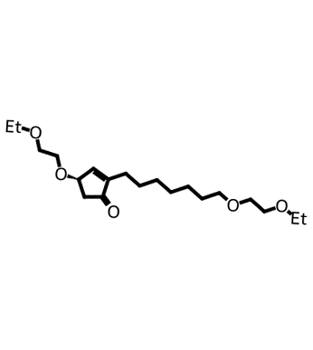 CCOCCOCCCCCCCC1=C[C@H](OCCOCC)CC1=O